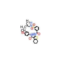 COc1ccc(NC(=O)c2c(NC(=O)c3cccc(S(=O)(=O)NCC(C)C)c3)sc3c2CCCC3)cc1